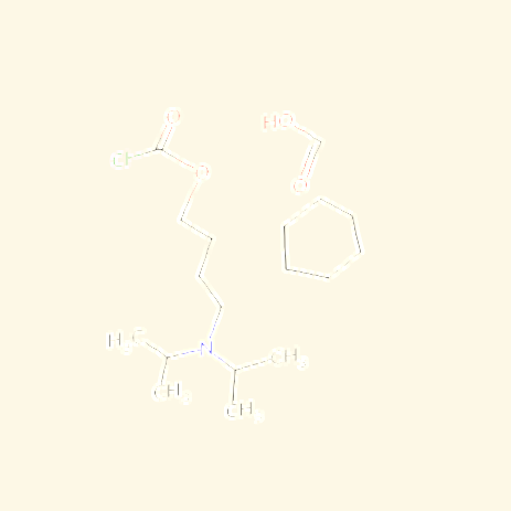 C1CCCCC1.CC(C)N(CCCCOC(=O)Cl)C(C)C.O=CO